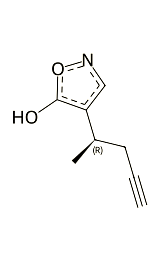 C#CC[C@@H](C)c1cnoc1O